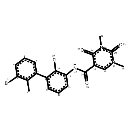 Cc1c(Br)cccc1-c1cccc(NC(=O)c2cn(C)c(=O)n(C)c2=O)c1Cl